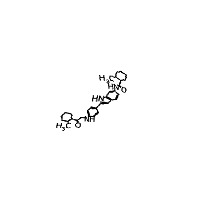 CC1CCCCC1C(=O)CNc1ccc(-c2cc3ccc(NC(=O)C4CCCCC4C)cc3[nH]2)cc1